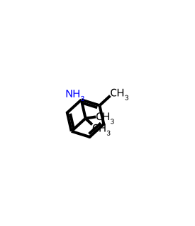 Cc1ccc2cc1C2(C)C.N